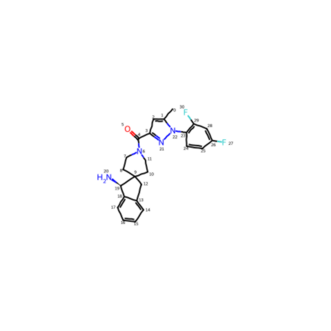 Cc1cc(C(=O)N2CCC3(CC2)Cc2ccccc2[C@H]3N)nn1-c1ccc(F)cc1F